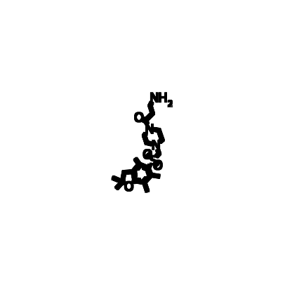 Cc1c(C)c(S(=O)(=O)CN2CCN(C(=O)CCN)CC2)c(C)c2c1OC(C)(C)C2